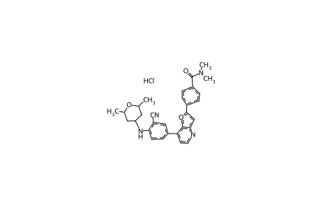 CC1CC(Nc2ccc(-c3ccnc4cc(-c5ccc(C(=O)N(C)C)cc5)oc34)cc2C#N)CC(C)O1.Cl